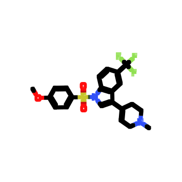 COc1ccc(S(=O)(=O)n2cc(C3=CCN(C)CC3)c3cc(C(F)(F)F)ccc32)cc1